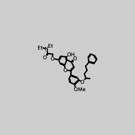 CCN(CC)C(=O)COc1cc(O)c2c(=O)cc(-c3ccc(OC)c(OC(C)CCCc4ccccc4)c3)oc2c1